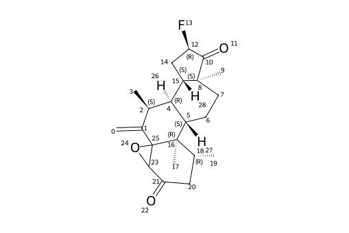 C=C1[C@@H](C)[C@@H]2[C@H](CC[C@]3(C)C(=O)[C@H](F)C[C@@H]23)[C@@]2(C)[C@H](C)CC(=O)C3OC132